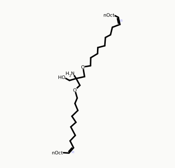 CCCCCCCC/C=C\CCCCCCCCOCC(N)(CO)COCCCCCCCC/C=C\CCCCCCCC